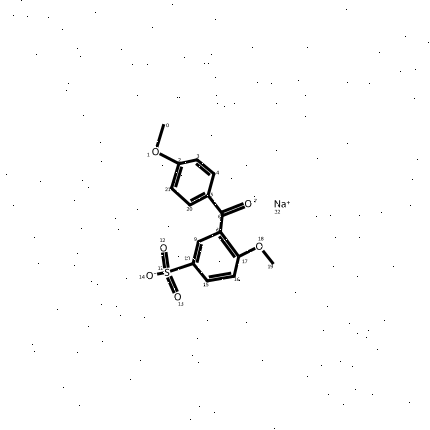 COc1ccc(C(=O)c2cc(S(=O)(=O)[O-])ccc2OC)cc1.[Na+]